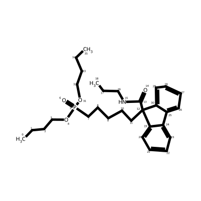 CCCCOP(=O)(CCCCCC1(C(=O)NCCC)c2ccccc2-c2ccccc21)OCCCC